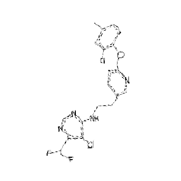 Cc1ccc(Oc2ccc(CCNc3ncnc(C(F)F)c3Cl)cn2)c(Cl)c1